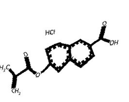 C=C(C)C(=O)Oc1ccc2cc(C(=O)O)ccc2c1.Cl